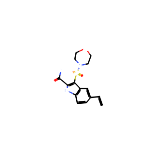 C=Cc1ccc2[nH]c(C(N)=O)c(S(=O)(=O)N3CCOCC3)c2c1